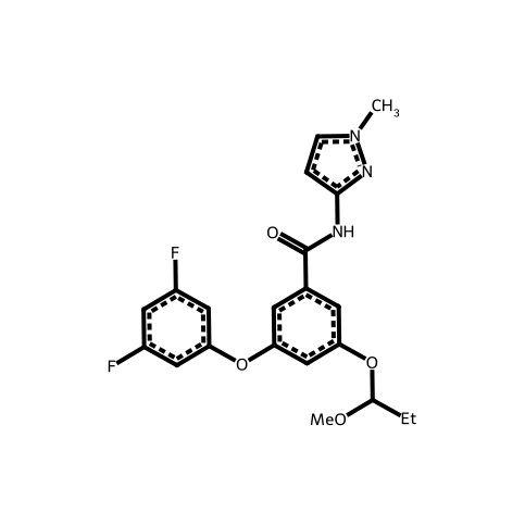 CCC(OC)Oc1cc(Oc2cc(F)cc(F)c2)cc(C(=O)Nc2ccn(C)n2)c1